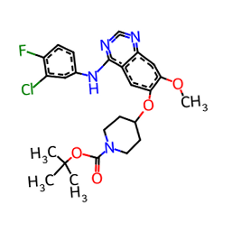 COc1cc2ncnc(Nc3ccc(F)c(Cl)c3)c2cc1OC1CCN(C(=O)OC(C)(C)C)CC1